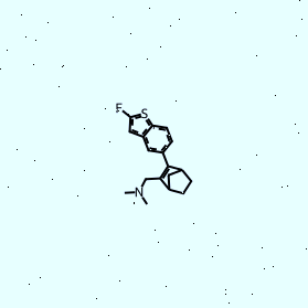 CN(C)CC1=C(c2ccc3sc(F)cc3c2)C2CCC1C2